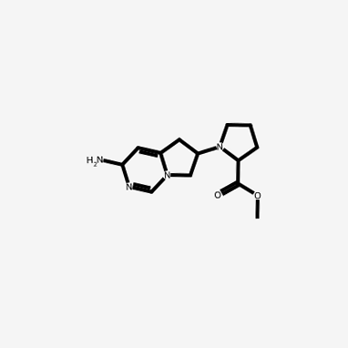 COC(=O)C1CCCN1C1CC2=CC(N)N=CN2C1